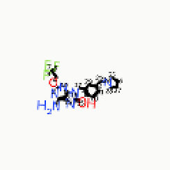 Nc1nc(OCC(F)(F)F)nc2c1nc(O)n2Cc1cccc(CN2CCCC2)c1